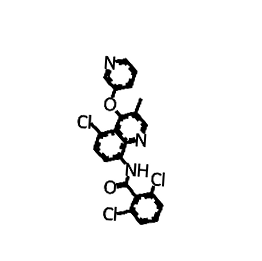 Cc1cnc2c(NC(=O)c3c(Cl)cccc3Cl)ccc(Cl)c2c1Oc1cccnc1